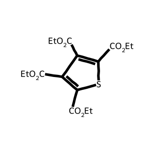 CCOC(=O)c1sc(C(=O)OCC)c(C(=O)OCC)c1C(=O)OCC